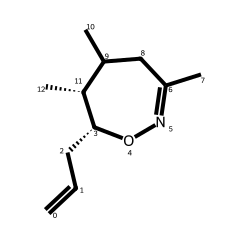 C=CC[C@H]1ON=C(C)CC(C)[C@H]1C